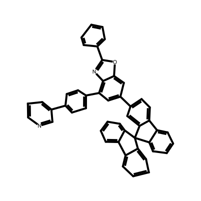 c1ccc(-c2nc3c(-c4ccc(-c5cccnc5)cc4)cc(-c4ccc5c(c4)C4(c6ccccc6-c6ccccc64)c4ccccc4-5)cc3o2)cc1